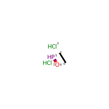 CC.Cl.Cl.O=P